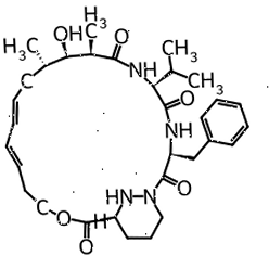 CC(C)[C@@H]1NC(=O)[C@H](C)[C@H](O)[C@@H](C)C/C=C/C=C/CCOC(=O)[C@@H]2CCCN(N2)C(=O)[C@H](Cc2ccccc2)NC1=O